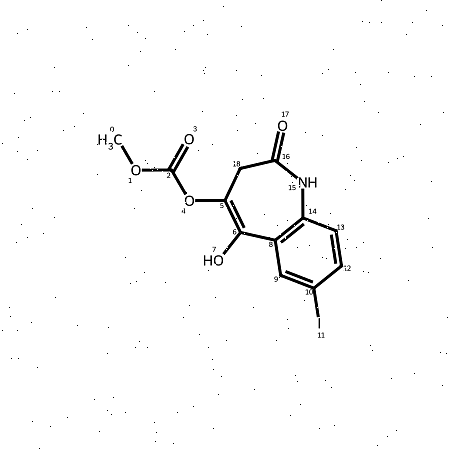 COC(=O)OC1=C(O)c2cc(I)ccc2NC(=O)C1